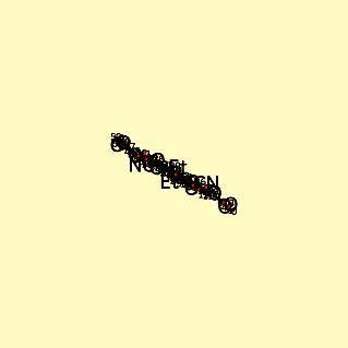 C=CC(=O)OCCCCOc1ccc(/C=C(\C#N)C(=O)Oc2ccc(/C(CC)=N/N=C(\CC)c3ccc(OC(=O)/C(C#N)=C/c4ccc(OCCCCOC(=O)C=C)cc4)cc3)cc2)cc1